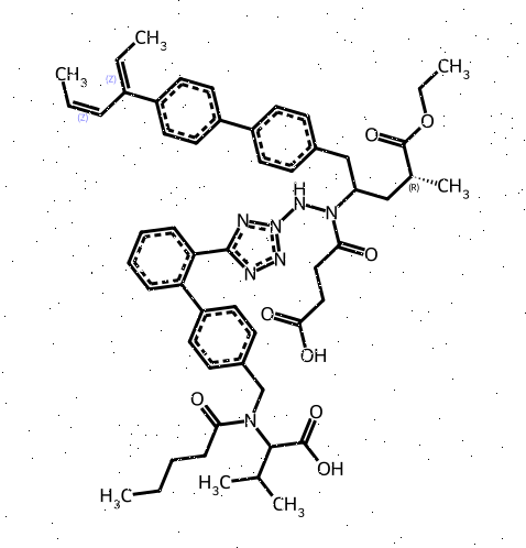 C/C=C\C(=C\C)c1ccc(-c2ccc(CC(C[C@@H](C)C(=O)OCC)N(Nn3nnc(-c4ccccc4-c4ccc(CN(C(=O)CCCC)C(C(=O)O)C(C)C)cc4)n3)C(=O)CCC(=O)O)cc2)cc1